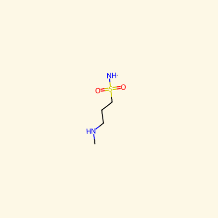 CNCCCS([NH])(=O)=O